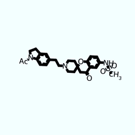 CC(=O)N1CCc2cc(CCN3CCC4(CC3)CC(=O)c3cc(NS(C)(=O)=O)ccc3O4)ccc21